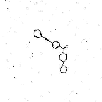 O=C(c1ccc(C#Cc2ccccc2)cc1)N1CCC(N2CCCC2)CC1